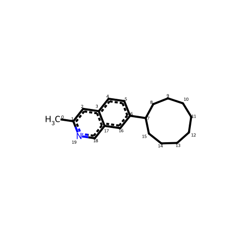 Cc1cc2ccc(C3CCCCCCCC3)cc2cn1